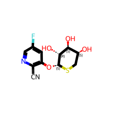 N#Cc1ncc(F)cc1O[C@H]1SC[C@@H](O)[C@H](O)[C@H]1O